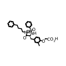 Cc1cc(C[C@H](NS(=O)(=O)c2ccccc2)C(=O)NCCCCc2ccccc2)ccc1OCC(=O)O